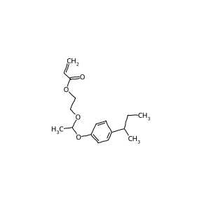 C=CC(=O)OCCOC(C)Oc1ccc(C(C)CC)cc1